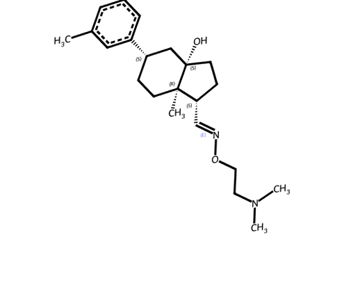 Cc1cccc([C@H]2CC[C@]3(C)[C@@H](/C=N/OCCN(C)C)CC[C@]3(O)C2)c1